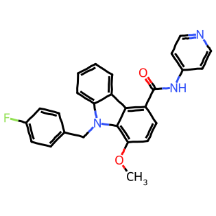 COc1ccc(C(=O)Nc2ccncc2)c2c3ccccc3n(Cc3ccc(F)cc3)c12